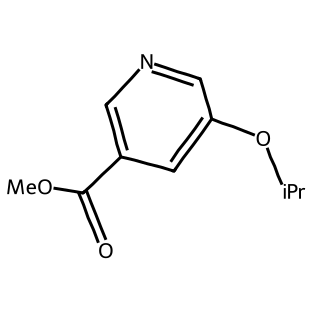 COC(=O)c1cncc(OC(C)C)c1